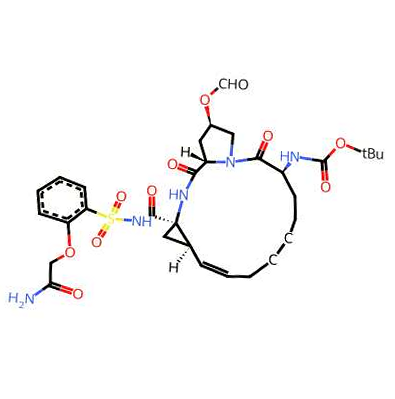 CC(C)(C)OC(=O)N[C@H]1CCCCC/C=C\[C@H]2C[C@@]2(C(=O)NS(=O)(=O)c2ccccc2OCC(N)=O)NC(=O)[C@@H]2C[C@@H](OC=O)CN2C1=O